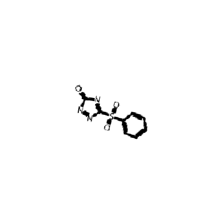 O=C1N=NC(S(=O)(=O)c2ccccc2)=N1